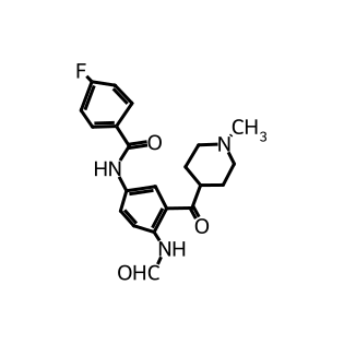 CN1CCC(C(=O)c2cc(NC(=O)c3ccc(F)cc3)ccc2NC=O)CC1